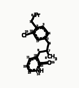 CC(C)Cc1ccc(CC(C)Cc2ccc[nH]c2=O)cc1Cl